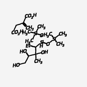 C=C(CC(=O)O)C(=O)O.CCC([SiH](O[Si](C)(C)C)O[Si](C)(C)C)C(C)(O)C(O)CO